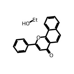 CCO.O=c1cc(-c2ccccc2)oc2c1ccc1ccccc12